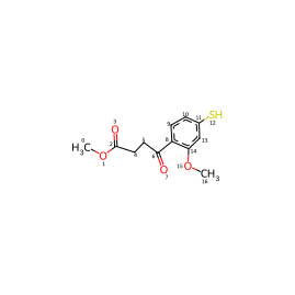 COC(=O)CCC(=O)c1ccc(S)cc1OC